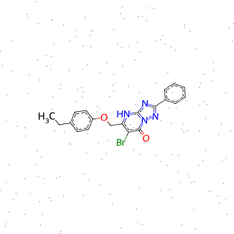 CCc1ccc(OCc2[nH]c3nc(-c4ccccc4)nn3c(=O)c2Br)cc1